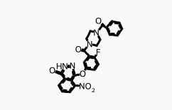 O=C(c1ccccc1)N1CCN(C(=O)c2cc(Oc3n[nH]c(=O)c4cccc([N+](=O)[O-])c34)ccc2F)CC1